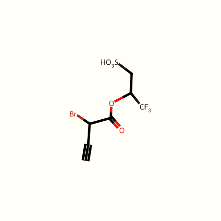 C#CC(Br)C(=O)OC(CS(=O)(=O)O)C(F)(F)F